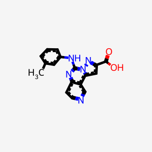 Cc1cccc(Nc2nc3ccncc3c3cc(C(=O)O)nn23)c1